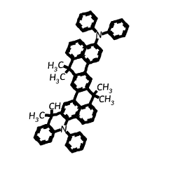 CC1(C)c2ccccc2N(c2ccccc2)c2c1cc1c3c(cccc23)C(C)(C)c2cc3c(cc2-1)C(C)(C)c1cccc2c(N(c4ccccc4)c4ccccc4)ccc-3c12